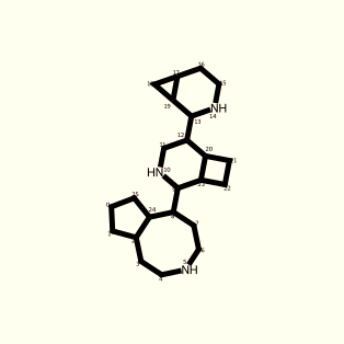 C1CC2CCNCCC(C3NCC(C4NCCC5CC54)C4CCC43)C2C1